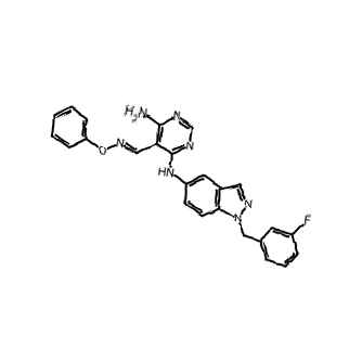 Nc1ncnc(Nc2ccc3c(cnn3Cc3cccc(F)c3)c2)c1C=NOc1ccccc1